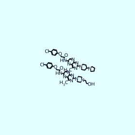 Cc1nc(N2CCC(N3CCCC3)CC2)nc2ncc(NC(=O)COc3ccc(Cl)cc3)nc12.Cc1nc(N2CCN(CCO)CC2)nc2ncc(NC(=O)COc3ccc(Cl)cc3)nc12